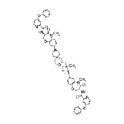 CN1C(=O)[C@H](NC(=O)c2cc(Oc3ccccc3)ccn2)COc2cc(N3CCC4(CCOC(CC(C)(C)C#Cc5ccc6c(c5)N(C)C(=O)[C@H](NC(=O)c5cc(Oc7ccccc7)ccn5)CO6)C4)CC3)ccc21